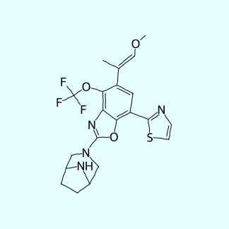 CO/C=C(\C)c1cc(-c2nccs2)c2oc(N3CC4CCC(C3)N4)nc2c1OC(F)(F)F